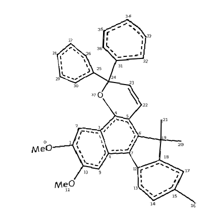 COc1cc2c3c(c4c(c2cc1OC)-c1ccc(C)cc1C4(C)C)C=CC(c1ccccc1)(c1ccccc1)O3